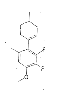 COc1cc(C)c(C2=CCC(C)CC2)c(F)c1F